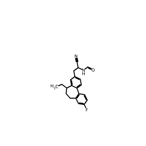 CCC1CCc2cc(F)ccc2-c2ccc(CC(C#N)NC=O)cc21